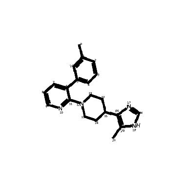 Cc1cccc(-c2cccnc2N2CCC(c3nc[nH]c3C)CC2)c1